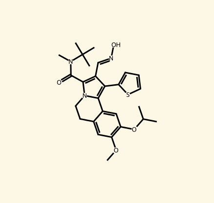 COc1cc2c(cc1OC(C)C)-c1c(-c3cccs3)c(C=NO)c(C(=O)N(C)C(C)(C)C)n1CC2